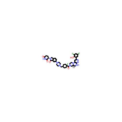 CC[C@@]12CNc3nnc(-c4cc(F)cc(F)c4O)cc3N1CCN(C(=O)C1(F)CCC(CN3CCN(c4ccc5c(c4)C(=O)N([C@H]4CCC(=O)NC4=O)C5)CC3)CC1)C2